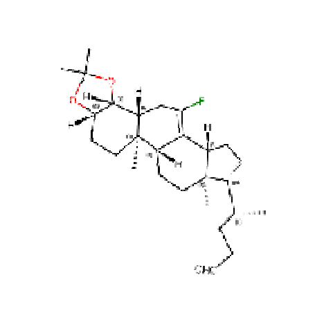 C[C@H](CCC=O)[C@H]1CC[C@H]2C3=C(F)C[C@H]4[C@H]5OC(C)(C)O[C@H]5CC[C@]4(C)[C@H]3CC[C@]12C